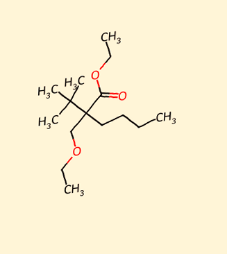 CCCCC(COCC)(C(=O)OCC)C(C)(C)C